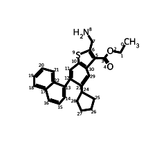 CCOC(=O)c1c(CN)sc2cc(-c3cccc4ccccc34)c(C3CCCC3)cc12